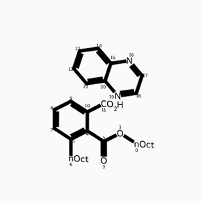 CCCCCCCCOC(=O)c1c(CCCCCCCC)cccc1C(=O)O.c1ccc2nccnc2c1